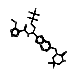 COc1nonc1C(=O)N[C@@H](CCC(C)(C)C(F)(F)F)c1cn2ncc(CN3CC(F)(F)CNC3=O)cc2n1